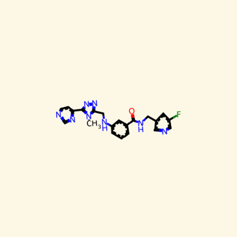 Cn1c(CNc2cccc(C(=O)NCc3cncc(F)c3)c2)nnc1-c1ccncn1